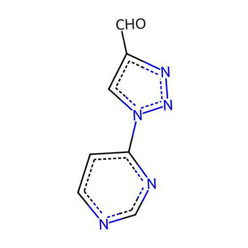 O=Cc1cn(-c2ccncn2)nn1